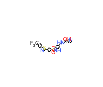 O=S(=O)(Nc1ccc(CCNC[C@H](O)c2cccnc2)cc1)c1ccc(-c2cnc(-c3ccc(C(F)(F)F)cc3)s2)cc1